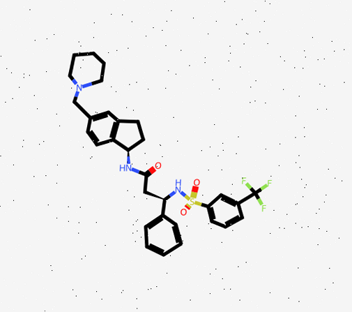 O=C(C[C@@H](NS(=O)(=O)c1cccc(C(F)(F)F)c1)c1ccccc1)N[C@@H]1CCc2cc(CN3CCCCC3)ccc21